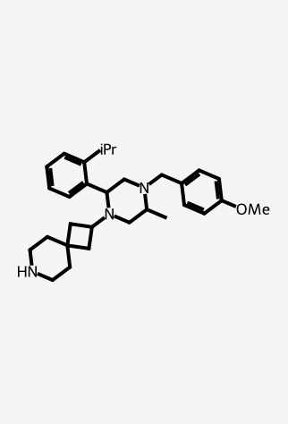 COc1ccc(CN2CC(c3ccccc3C(C)C)N(C3CC4(CCNCC4)C3)CC2C)cc1